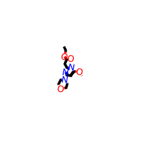 CCOC(=O)Cc1nc(OC)cc(N2CCOCC2)n1